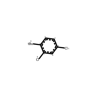 CC(C)(C)c1ccc(Cl)[c]c1Cl